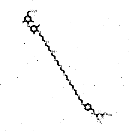 C/N=C(/NCc1ccc(OCCOCCOCCOCCOCCOCCOCCNCCCNCCCOc2c(I)cc(Oc3c(I)cc(CC(=O)O)cc3I)cc2I)cc1)NC(=O)OC(C)(C)C